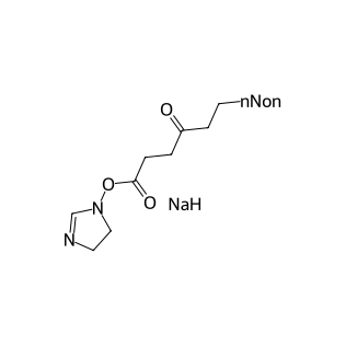 CCCCCCCCCCCC(=O)CCC(=O)ON1C=NCC1.[NaH]